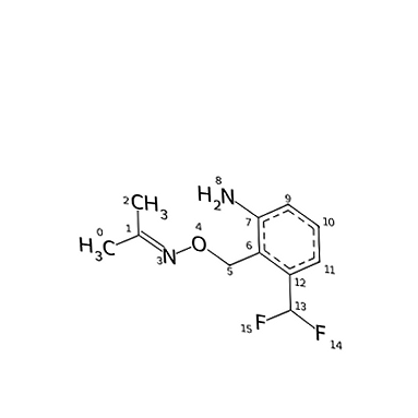 CC(C)=NOCc1c(N)cccc1C(F)F